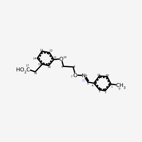 Cc1ccc(/C=N/OCCOc2cccc(CC(=O)O)c2)cc1